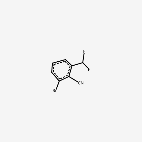 N#Cc1c(Br)cccc1C(F)F